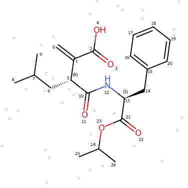 C=C(C(=O)O)[C@@H](CC(C)C)C(=O)N[C@@H](Cc1ccccc1)C(=O)OC(C)C